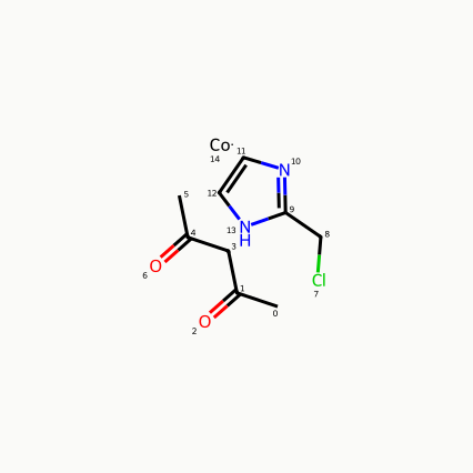 CC(=O)CC(C)=O.ClCc1ncc[nH]1.[Co]